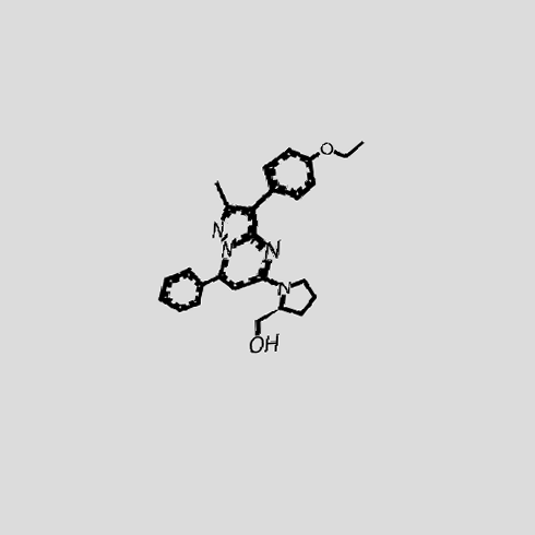 CCOc1ccc(-c2c(C)nn3c(-c4ccccc4)cc(N4CCC[C@H]4CO)nc23)cc1